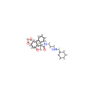 O=C1N(CCCNCC2CCCCC2)c2ccccc2C12COc1cc3c(cc12)OCO3